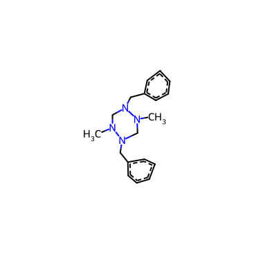 CN1CN(Cc2ccccc2)N(C)CN1Cc1ccccc1